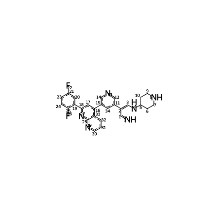 N=C/C(=C\NC1CCNCC1)c1cncc(-c2cc(-c3cc(F)ccc3F)nc3ncccc23)c1